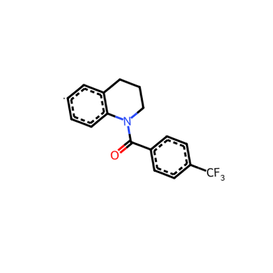 O=C(c1ccc(C(F)(F)F)cc1)N1CCCc2c[c]ccc21